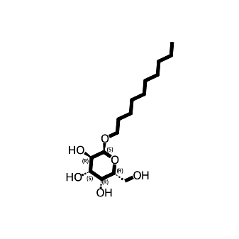 CCCCCCCCCCO[C@H]1O[C@H](CO)[C@H](O)[C@H](O)[C@H]1O